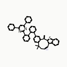 C=C1c2cc(-c3ccccc3-c3ccccc3-c3nc(-c4ccccc4)cc(-c4ccccc4)n3)ccc2C(C)(C)C/C=C\c2c1sc1ccccc21